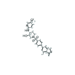 Cc1cc(-c2ccc(S(=O)(=O)N3CC[C@@H](Nc4ccc(C(F)(F)F)cn4)[C@@H](O)C3)cc2)cc2cnn(C)c12